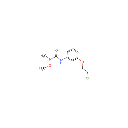 CON(C)C(=O)Nc1cccc(OCCCl)c1